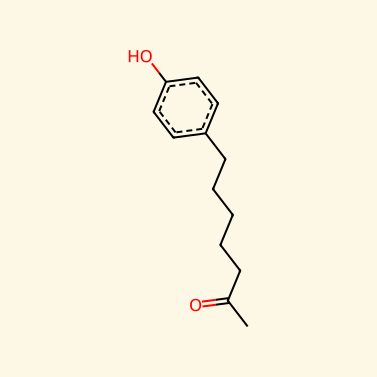 CC(=O)CCCCCc1ccc(O)cc1